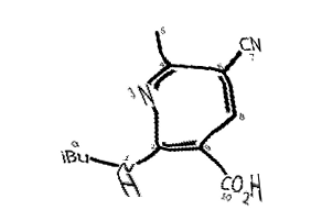 CCC(C)Nc1nc(C)c(C#N)cc1C(=O)O